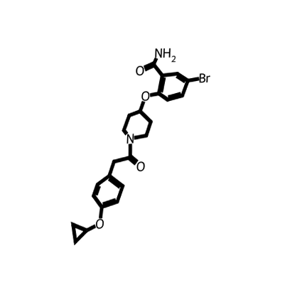 NC(=O)c1cc(Br)ccc1OC1CCN(C(=O)Cc2ccc(OC3CC3)cc2)CC1